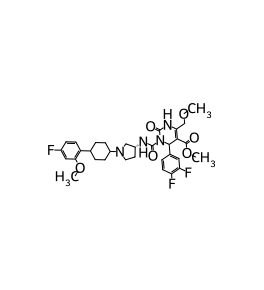 COCC1=C(C(=O)OC)C(c2ccc(F)c(F)c2)N(C(=O)N[C@@H]2CCN(C3CCC(c4ccc(F)cc4OC)CC3)C2)C(=O)N1